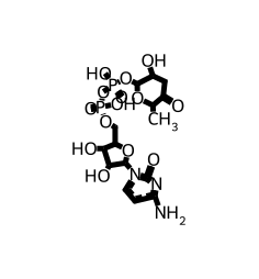 CC1OC(OP(=O)(O)OP(=O)(O)OCC2OC(n3ccc(N)nc3=O)C(O)C2O)C(O)CC1=O